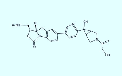 CC(=O)NC[C@@H]1OC(=O)N2c3ccc(-c4ccc(C5(C#N)C6CN(C(=O)CO)CC65)nc4)cc3C[C@@H]12